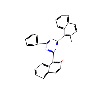 Oc1ccc2ccccc2c1-c1nc(-c2ccccc2)nc(-c2c(O)ccc3ccccc23)n1